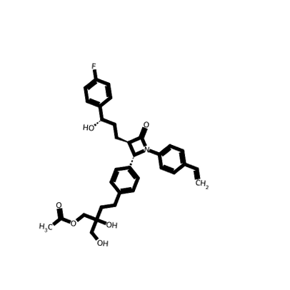 C=Cc1ccc(N2C(=O)[C@H](CC[C@H](O)c3ccc(F)cc3)[C@H]2c2ccc(CCC(O)(CO)COC(C)=O)cc2)cc1